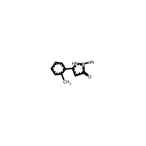 CCCn1[nH]c(-c2ccccc2C)cc1=O